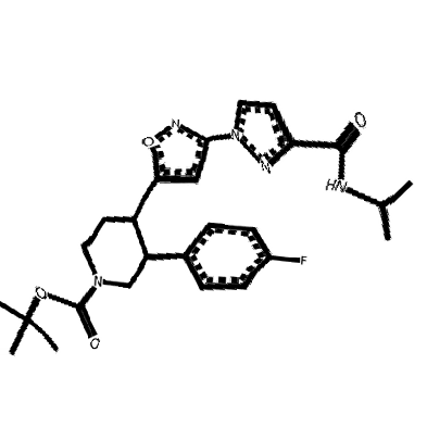 CC(C)NC(=O)c1ccn(-c2cc(C3CCN(C(=O)OC(C)(C)C)CC3c3ccc(F)cc3)on2)n1